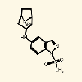 CCCN1C2CCC1CC(Nc1ccc3c(cnn3S(C)(=O)=O)c1)C2